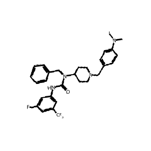 CN(I)c1ccc(CN2CCC(N(Cc3ccccc3)C(=O)Nc3cc(F)cc(C(F)(F)F)c3)CC2)cc1